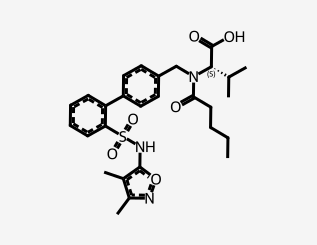 CCCCC(=O)N(Cc1ccc(-c2ccccc2S(=O)(=O)Nc2onc(C)c2C)cc1)[C@H](C(=O)O)C(C)C